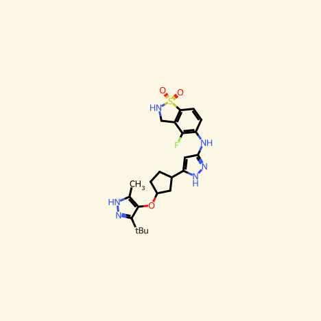 Cc1[nH]nc(C(C)(C)C)c1OC1CCC(c2cc(Nc3ccc4c(c3F)CNS4(=O)=O)n[nH]2)C1